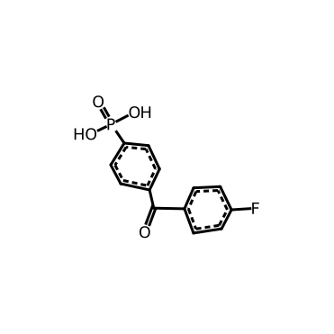 O=C(c1ccc(F)cc1)c1ccc(P(=O)(O)O)cc1